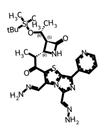 CC(C(=O)c1sc2c(-c3cccnc3)nc(C=NN)n2c1C=NN)[C@H]1NC(=O)[C@@H]1[C@@H](C)O[Si](C)(C)C(C)(C)C